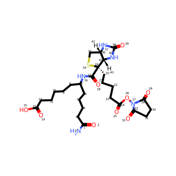 NC(=O)CCCCC(CCCCCC(=O)O)NC(=O)[C@@]1(CCCCC(=O)ON2C(=O)CCC2=O)SC[C@@H]2NC(=O)N[C@@H]21